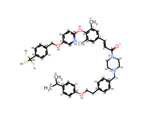 Cc1cc(C=CC(=O)N2CCN(Cc3ccc(CCOc4ccc(C(C)C)cc4)cc3)CC2)cc(Cl)c1Oc1ccc(OCc2ccc(C(F)(F)F)cc2)cn1